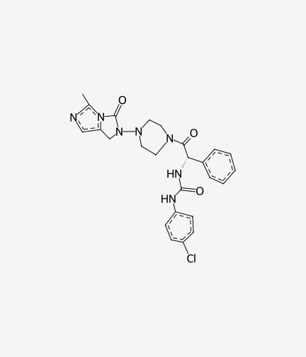 Cc1ncc2n1C(=O)N(N1CCN(C(=O)[C@@H](NC(=O)Nc3ccc(Cl)cc3)c3ccccc3)CC1)C2